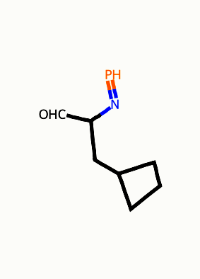 O=CC(CC1CCC1)N=P